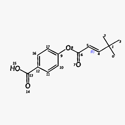 CC(C)(C)/C=C/C(=O)Oc1ccc(C(=O)O)cc1